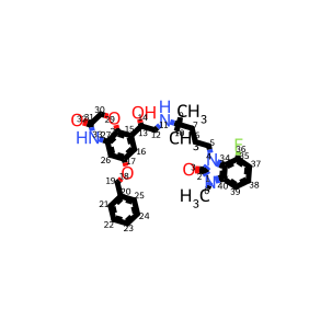 Cn1c(=O)n(CCCC(C)(C)NCC(O)c2cc(OCc3ccccc3)cc3c2OCC(=O)N3)c2c(F)cccc21